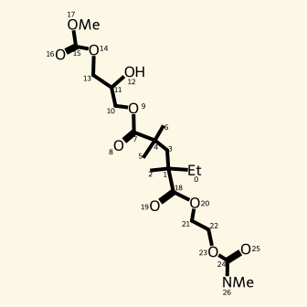 CCC(C)(CC(C)(C)C(=O)OCC(O)COC(=O)OC)C(=O)OCCOC(=O)NC